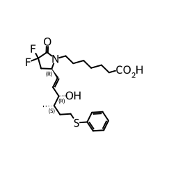 C[C@@H](CCSc1ccccc1)[C@@H](O)C=C[C@H]1CC(F)(F)C(=O)N1CCCCCCC(=O)O